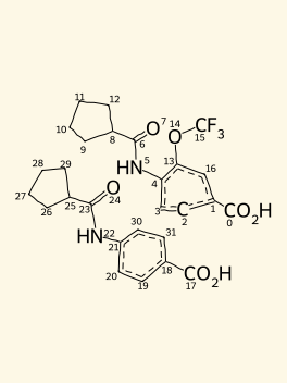 O=C(O)c1ccc(NC(=O)C2CCCC2)c(OC(F)(F)F)c1.O=C(O)c1ccc(NC(=O)C2CCCC2)cc1